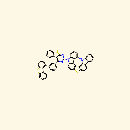 c1cc(-c2cccc3sc4ccccc4c23)cc(-c2nc(-n3c4ccc5sc6ccc7c8ccccc8n8c9cccc3c9c4c5c6c78)nc3sc4ccccc4c23)c1